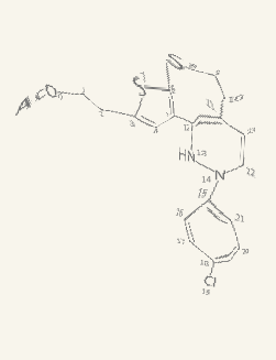 CC(=O)OCCc1cc2c(s1)SCCC1=C2NN(c2ccc(Cl)cc2)C=C1